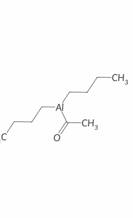 CCC[CH2][Al]([CH2]CCC)[C](C)=O